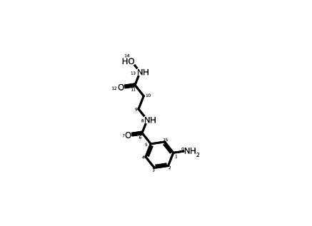 Nc1cccc(C(=O)NCCC(=O)NO)c1